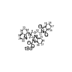 CC(C)(C)OC(=O)n1c(CN(CCCCN2C(=O)c3ccccc3C2=O)[C@H]2CCCc3cccnc32)nc2ccccc21